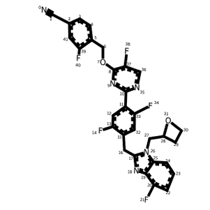 N#Cc1ccc(COc2nc(-c3cc(F)c(Cc4nc5c(F)cccc5n4CC4CCO4)cc3F)ncc2F)c(F)c1